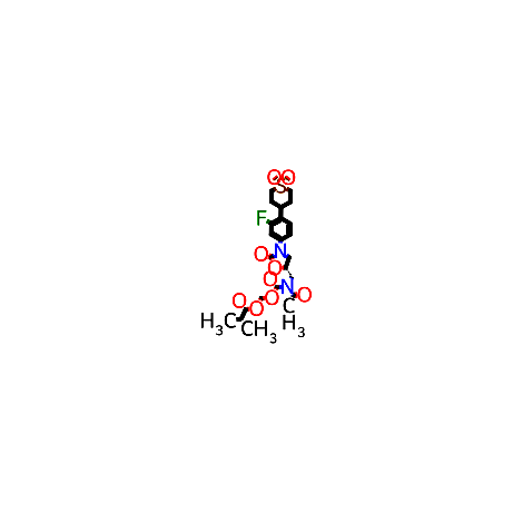 CC(=O)N(C[C@H]1CN(c2ccc(C3CCS(=O)(=O)CC3)c(F)c2)C(=O)O1)C(=O)OCOC(=O)C(C)C